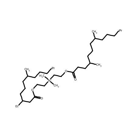 CCC(CCCC(C)CCCC(C)C)CC(=O)OCC[N+](C)(C)CCOC(=O)CCC(C)CCCC(C)CCCC(C)C